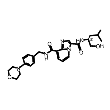 CC(C)C[C@@H](CO)NC(=O)c1cnc2c(C(=O)NCc3ccc(N4CCOCC4)cc3)cccn12